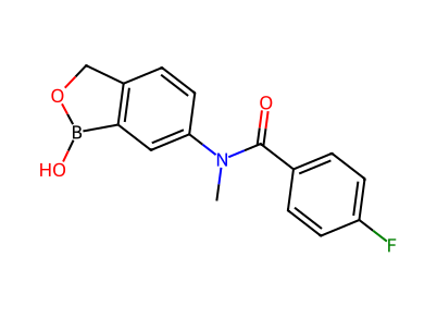 CN(C(=O)c1ccc(F)cc1)c1ccc2c(c1)B(O)OC2